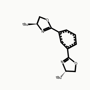 CC(C)(C)[C@H]1COC(c2cccc(C3=N[C@@H](C(C)(C)C)CO3)c2)=N1